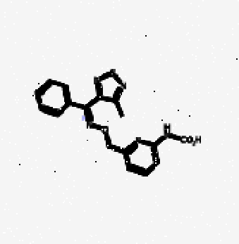 Cc1nsnc1/C(=N\OCc1cccc(NC(=O)O)n1)c1ccccc1